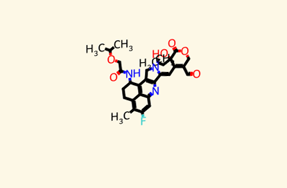 CCC1(O)C(=O)OCC(C=O)=C1/C=C1/c2nc3cc(F)c(C)c4c3c(c2CN1C)C(NC(=O)COC(C)C)CC4